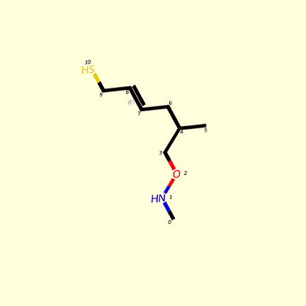 CNOCC(C)C/C=C/CS